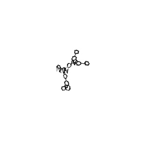 c1ccc(-c2ccc3c(c2)c2cc(-c4ccccc4)ccc2n3-c2ccc(-c3cc(-c4ccccn4)nc(-c4ccc(-c5ccc6oc7ccccc7c6c5)cc4)n3)cc2)cc1